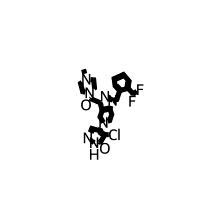 CN1CCN(C(=O)c2nn(Cc3ccccc3C(F)F)c3c2CN(c2cn[nH]c(=O)c2Cl)CC3)CC1